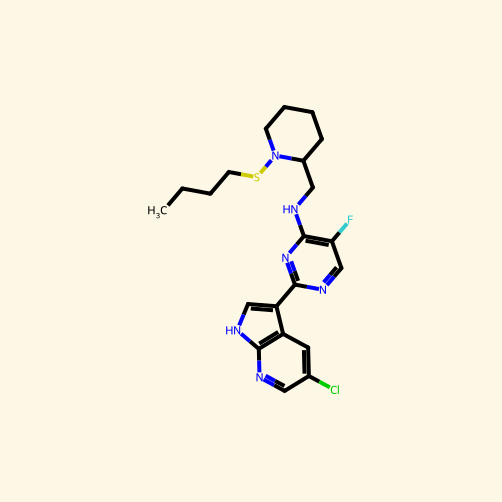 CCCCSN1CCCCC1CNc1nc(-c2c[nH]c3ncc(Cl)cc23)ncc1F